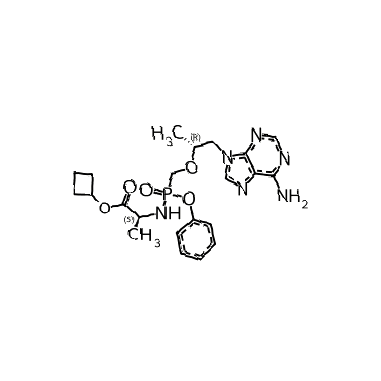 C[C@H](Cn1cnc2c(N)ncnc21)OCP(=O)(N[C@@H](C)C(=O)OC1CCC1)Oc1ccccc1